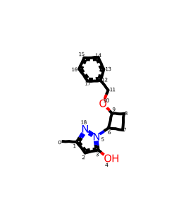 Cc1cc(O)n(C2CCC2OCc2ccccc2)n1